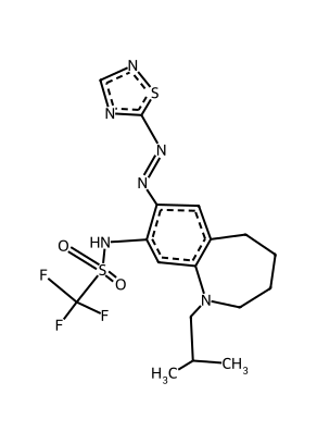 CC(C)CN1CCCCc2cc(N=Nc3ncns3)c(NS(=O)(=O)C(F)(F)F)cc21